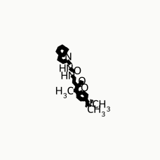 CCN(CC)c1ccc2c(C)c(CCNC(=O)NCc3ccc4ccccc4n3)c(=O)oc2c1